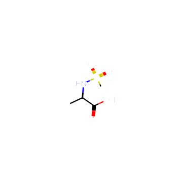 CC(N[S](=O)(=O)[Cr])C(=O)O